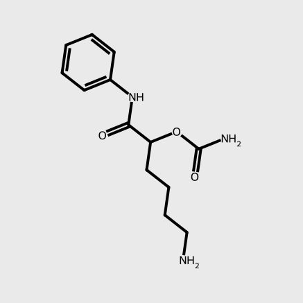 NCCCCC(OC(N)=O)C(=O)Nc1ccccc1